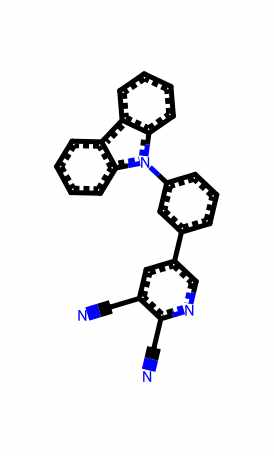 N#Cc1cc(-c2cccc(-n3c4ccccc4c4ccccc43)c2)cnc1C#N